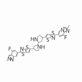 Cc1cn2cc(-c3nc4sc(C5CCNC(C6CC(c7cc8sc(-c9cc(F)c%10cn(C)nc%10c9)nc8s7)CCN6)C5)cc4s3)cc(F)c2n1